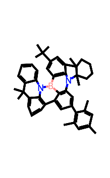 Cc1cc(C)c(-c2cc3c4c(c2)N2c5c(cc(C(C)(C)C)cc5C5(C)CCCCC25C)B4N2c4ccccc4C(C)(C)c4cccc-3c42)c(C)c1